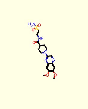 COc1cc2ncc(N3CCC(C(=O)NCCS(N)(=O)=O)CC3)nc2cc1OC